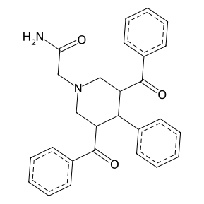 NC(=O)CN1CC(C(=O)c2ccccc2)C(c2ccccc2)C(C(=O)c2ccccc2)C1